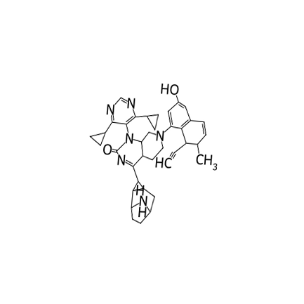 C#CC1c2c(cc(O)cc2N2CCC3C(C4C5CC6CCC(N6)[C@H]54)=NC(=O)N(c4c(C5CC5)ncnc4C4CC4)C3C2)C=CC1C